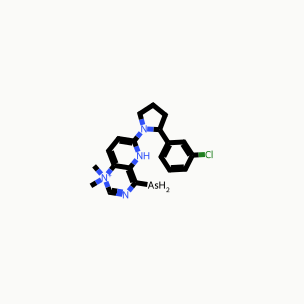 C[N+]1(C)C=NC([AsH2])=C2NC(N3CCCC3c3cccc(Cl)c3)=CC=C21